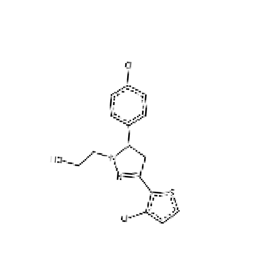 OCCN1N=C(c2sccc2Cl)CC1c1ccc(Cl)cc1